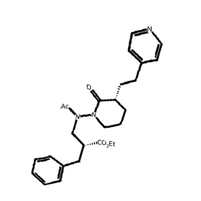 CCOC(=O)[C@H](Cc1ccccc1)CN(C(C)=O)N1CCC[C@@H](CCc2ccncc2)C1=O